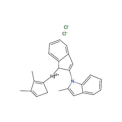 CC1=CC[C]([Hf+2][CH]2C(n3c(C)cc4ccccc43)=Cc3ccccc32)=C1C.[Cl-].[Cl-]